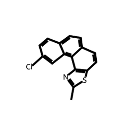 Cc1nc2c(ccc3ccc4ccc(Cl)cc4c32)s1